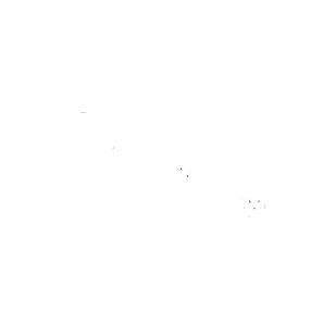 CCC(C)(C)C1CN(CSC)C1